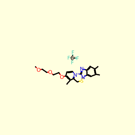 COCCOCCOc1cc[n+]2c(c1C)CSn1c-2nc2cc(C)c(C)cc21.F[B-](F)(F)F